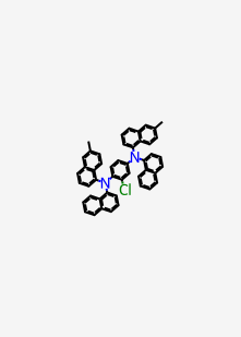 Cc1ccc2c(N(c3ccc(N(c4cccc5ccccc45)c4cccc5cc(C)ccc45)c(Cl)c3)c3cccc4ccccc34)cccc2c1